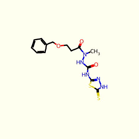 CN(NC(=O)Nc1n[nH]c(=S)s1)C(=O)CCOCc1ccccc1